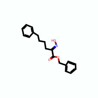 O=C(OCc1ccccc1)C(CCCCc1ccccc1)=NO